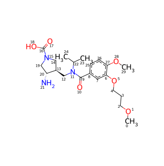 COCCCOc1cc(C(=O)N(C[C@@H]2CN(C(=O)O)C[C@H]2N)C(C)C)ccc1OC